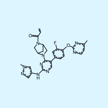 C=CC(=O)N1CC2CC1CN2c1nc(Nc2cnn(C)c2)ncc1-c1ccc(Oc2nccc(C)n2)c(F)c1